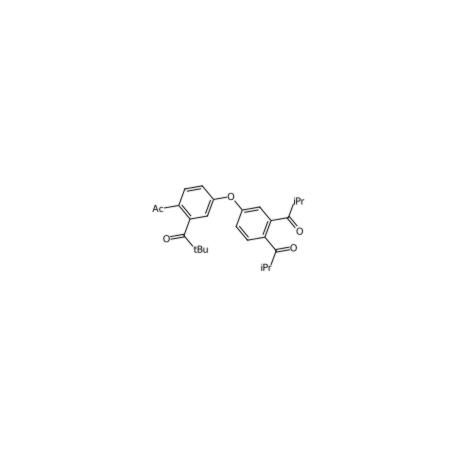 CC(=O)c1ccc(Oc2ccc(C(=O)C(C)C)c(C(=O)C(C)C)c2)cc1C(=O)C(C)(C)C